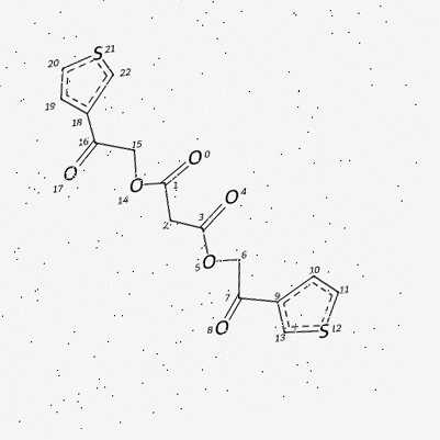 O=C(CC(=O)OCC(=O)c1ccsc1)OCC(=O)c1ccsc1